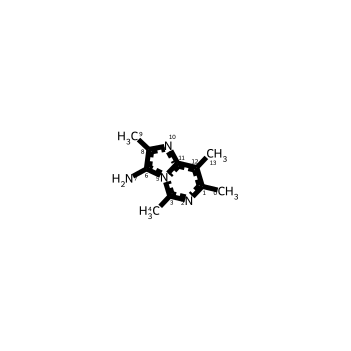 Cc1nc(C)n2c(N)c(C)nc2c1C